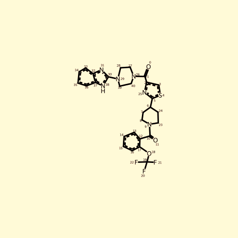 O=C(c1csc(C2CCN(C(=O)c3ccccc3OC(F)(F)F)CC2)n1)N1CCN(c2nc3ccccc3[nH]2)CC1